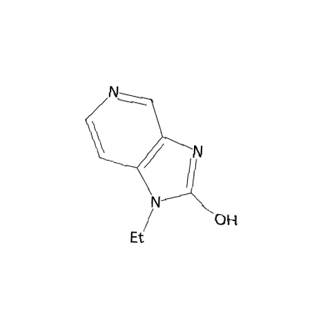 CCn1c(O)nc2cnccc21